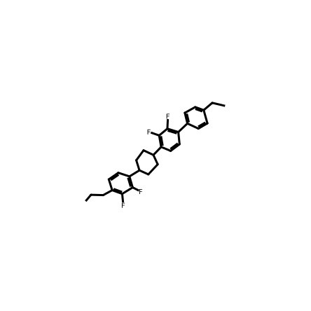 CCCc1ccc(C2CCC(c3ccc(-c4ccc(CC)cc4)c(F)c3F)CC2)c(F)c1F